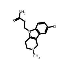 CN1CCc2c(c3cc(Cl)ccc3n2CCC(N)=S)C1